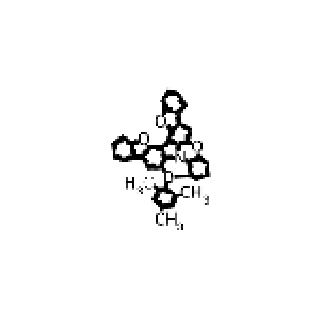 Cc1cc(C)c(B2c3cccc4c3-n3c5c(cc6c7ccccc7oc6c5c5c6oc7ccccc7c6cc2c53)O4)c(C)c1